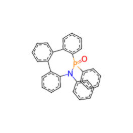 O=P1(c2ccccc2)c2ccccc2-c2ccccc2-c2ccccc2N1c1ccccc1